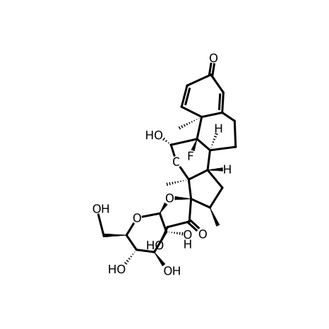 C[C@@H]1C[C@H]2[C@@H]3CCC4=CC(=O)C=C[C@]4(C)[C@@]3(F)[C@@H](O)C[C@]2(C)[C@@]1(O[C@@H]1O[C@H](CO)[C@@H](O)[C@H](O)[C@H]1O)C(=O)CO